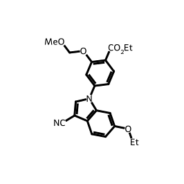 CCOC(=O)c1ccc(-n2cc(C#N)c3ccc(OCC)cc32)cc1OCOC